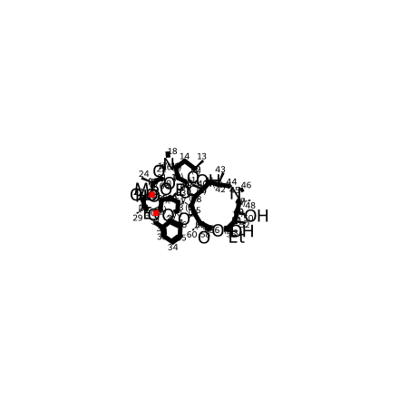 CC[C@@H]1O[C@@H](O[C@H]2[C@H](C)[C@@H](O[C@@H]3O[C@H](C)C[C@H](N(C)C)[C@H]3OC(=O)[C@H](C)OC(=O)[C@@H](C)OCc3ccccc3)[C@](C)(O)C[C@@H](C)CN(C)[C@H](C)[C@@H](O)[C@](C)(O)[C@@H](CC)OC(=O)[C@@H]2C)C[C@@](CC)(OC)[C@H]1O